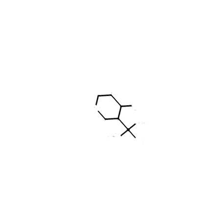 CCCCCCCC(C)(CCCCCC)C1CNCCC1C